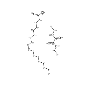 CCCCCCCC/C=C\CCCCCCCC(=O)O.CCOC(=O)C(=O)OCC